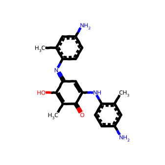 CC1=C(O)C(=Nc2ccc(N)cc2C)C=C(Nc2ccc(N)cc2C)C1=O